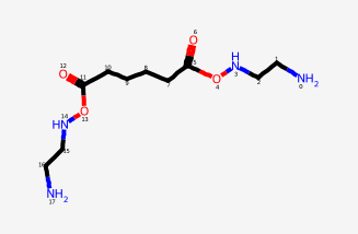 NCCNOC(=O)CCCCC(=O)ONCCN